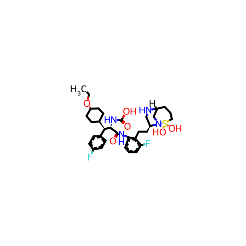 CCOC1CCC([C@H](c2ccc(F)cc2)[C@H](NC(=O)O)C(=O)Nc2cccc(F)c2CC[C@H]2CN[C@@H]3CCCS(O)(O)N2C3)CC1